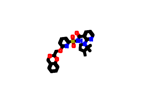 CC1CCN(c2ncccc2C(=O)NS(=O)(=O)c2cccc(OCC3OCc4ccccc4O3)n2)C1(C)C